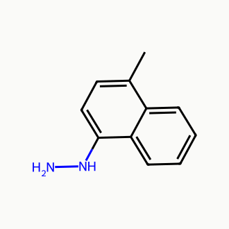 Cc1ccc(NN)c2ccccc12